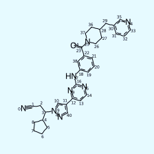 N#CCC(C1CCCC1)n1cc(-c2ccnc(Nc3cccc(C(=O)N4CCC(Cc5cccnc5)CC4)c3)n2)cn1